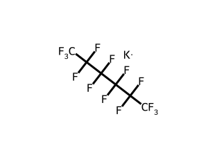 FC(F)(F)C(F)(F)C(F)(F)C(F)(F)C(F)(F)C(F)(F)F.[K]